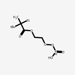 CCC(C)(C(=O)OCCOO[PH](=O)O)C(C)(C)C